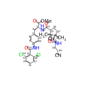 COC(=O)[C@H](Cc1ccc(NC(=O)c2c(Cl)cccc2Cl)cc1)NC(=O)C1CCC(C)(C(=O)NCCC#N)C1(C)C